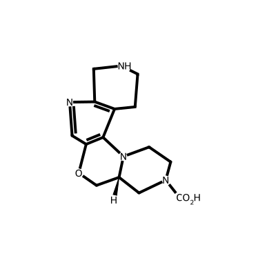 O=C(O)N1CCN2c3c(cnc4c3CCNC4)OC[C@H]2C1